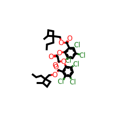 CCCC1(COC(=O)c2c(Cl)c(Cl)cc(Cl)c2OC(=O)C(=O)Oc2c(Cl)cc(Cl)c(Cl)c2C(=O)OCC2(CCC)CCC2C)CCC1C